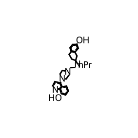 CCCN(CCN1CCN(c2ccnc3c(O)cccc23)CC1)C1CCc2ccc(O)cc2C1